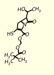 CC(O)C1C(=O)N2C(C(=O)OCOC(=O)C(C)(C)C)=C(S)CC12